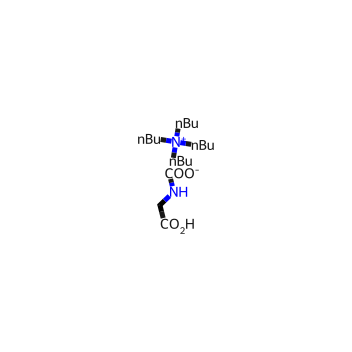 CCCC[N+](CCCC)(CCCC)CCCC.O=C(O)CNC(=O)[O-]